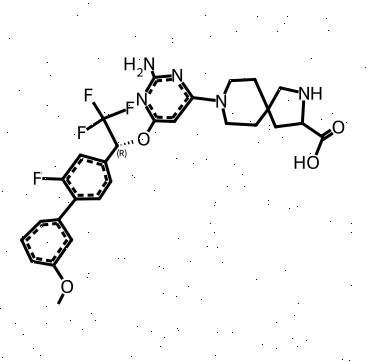 COc1cccc(-c2ccc([C@@H](Oc3cc(N4CCC5(CC4)CNC(C(=O)O)C5)nc(N)n3)C(F)(F)F)cc2F)c1